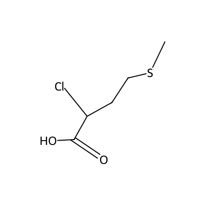 CSCCC(Cl)C(=O)O